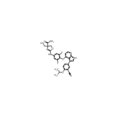 CC(C)Oc1ccc(-c2c[nH]c3nccc(Oc4c(F)cc(NC5=NC(CO)(C(N)=O)CO5)cc4F)c23)cc1C#N